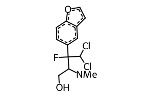 CNC(CO)C(F)(c1ccc2occc2c1)C(Cl)Cl